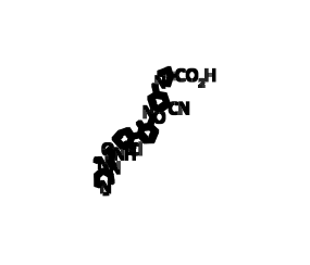 Cc1c(-c2nc3cc(CN4CC[C@@H](C(=O)O)C4)cc(C#N)c3o2)cccc1-c1cccc(NC(=O)c2nc3c(n2C)CCN(C)C3)c1Cl